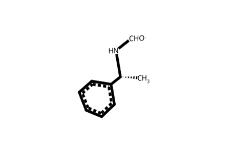 C[C@@H](N[C]=O)c1ccccc1